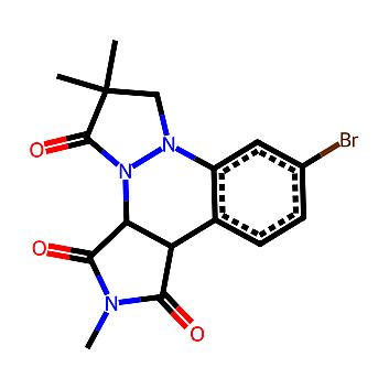 CN1C(=O)C2c3ccc(Br)cc3N3CC(C)(C)C(=O)N3C2C1=O